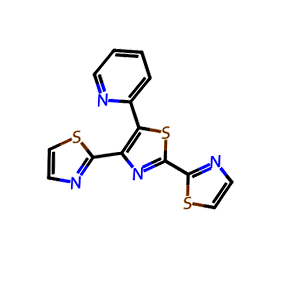 c1ccc(-c2sc(-c3nccs3)nc2-c2nccs2)nc1